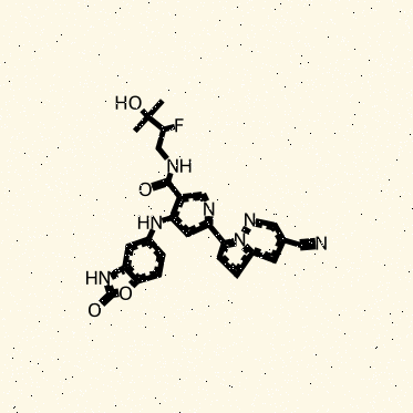 CC(C)(O)C(F)CNC(=O)c1cnc(-c2ccc3cc(C#N)cnn23)cc1Nc1ccc2oc(=O)[nH]c2c1